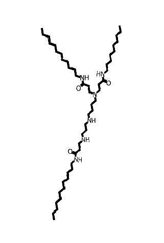 CCCCCCCCCCCCNC(=O)CCNCCCNCCCCN(CCC(=O)NCCCCCCCCCC)CCC(=O)NCCCCCCCCCCCC